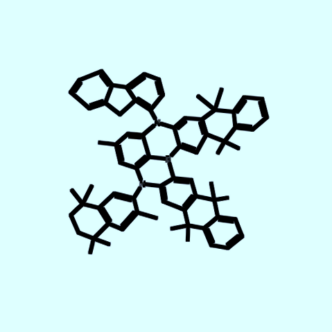 Cc1cc2c3c(c1)N(c1cccc4c1Cc1ccccc1-4)c1cc4c(cc1B3c1cc3c(cc1N2c1cc2c(cc1C)C(C)(C)CCC2(C)C)C(C)(C)c1ccccc1C3(C)C)C(C)(C)c1ccccc1C4(C)C